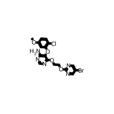 COc1ccc(Cl)c(Oc2c(N)ncnc2OCCOc2ncc(Br)cn2)c1